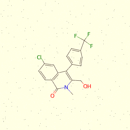 Cn1c(CO)c(-c2ccc(C(F)(F)F)cc2)c2cc(Cl)ccc2c1=O